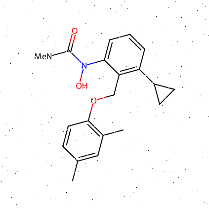 CNC(=O)N(O)c1cccc(C2CC2)c1COc1ccc(C)cc1C